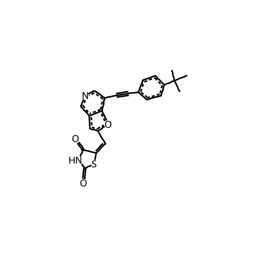 CC(C)(C)c1ccc(C#Cc2cncc3cc(C=C4SC(=O)NC4=O)oc23)cc1